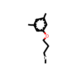 CCCCCOc1cc(C)[c]c(C)c1